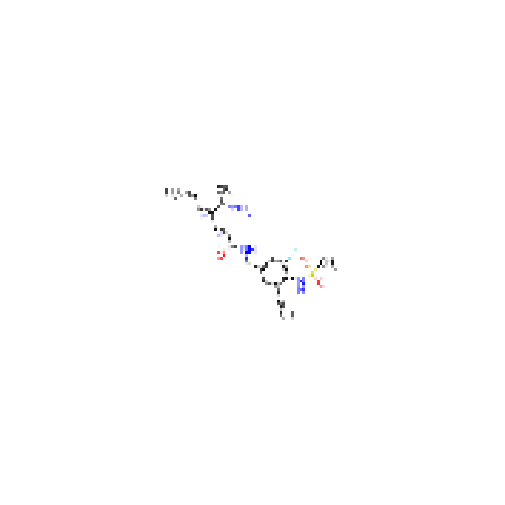 C#Cc1cc(CNC(=O)/C=C/C(=C/C=C)C(N)C(F)(F)F)cc(F)c1NS(C)(=O)=O